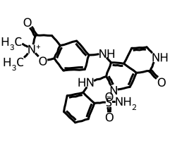 C[N+]1(C)Oc2ccc(Nc3c(Nc4ccccc4S(N)(=O)=O)ncc4c(=O)[nH]ccc34)cc2CC1=O